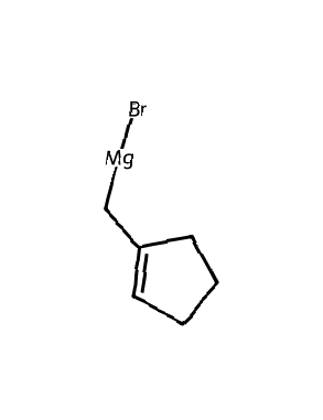 [Br][Mg][CH2]C1=CCCC1